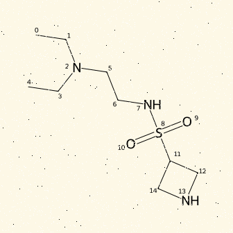 CCN(CC)CCNS(=O)(=O)C1CNC1